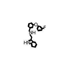 Fc1cccc(Oc2cccc(CNCCc3c[nH]c4ccccc34)c2)c1